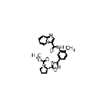 COC(=O)N1CCC[C@@H]1c1nc(-c2ccc(C)c(NC(=O)c3cnc4ccccn34)c2)no1